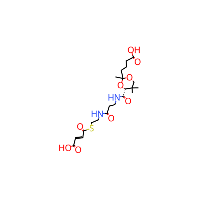 CC1(CCCC(=O)O)OCC(C)(C)[C@H](C(=O)NCCC(=O)NCCSC(=O)/C=C/C(=O)O)O1